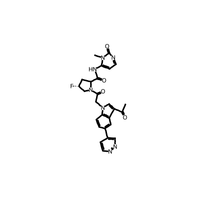 CC(=O)c1cn(CC(=O)N2C[C@H](F)CC2C(=O)Nc2ccnc(=O)n2C)c2ccc(-c3ccnnc3)cc12